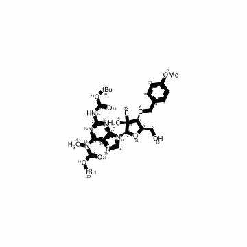 COc1ccc(CO[C@@H]2[C@@H](CO)O[C@@H](n3cnc4c(N(C)C(=O)OC(C)(C)C)nc(NC(=O)OC(C)(C)C)nc43)[C@]2(C)F)cc1